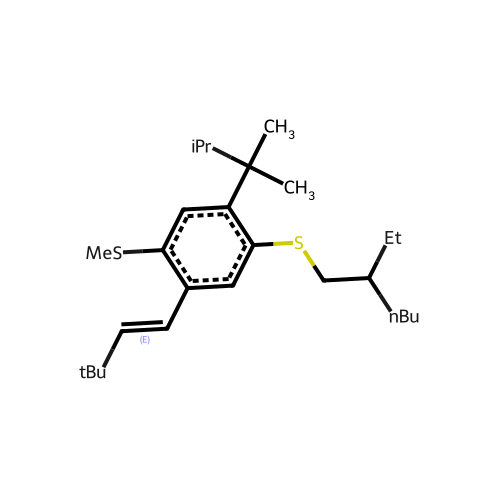 CCCCC(CC)CSc1cc(/C=C/C(C)(C)C)c(SC)cc1C(C)(C)C(C)C